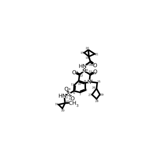 CC1(NS(=O)(=O)c2ccc3c(c2)c(=O)n(NC(=O)C24CC2C4)c(=O)n3CC2CCC2)CC1